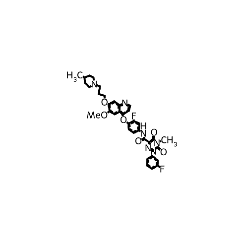 COc1cc2c(Oc3ccc(NC(=O)c4nn(-c5cccc(F)c5)c(=O)n(C)c4=O)cc3F)ccnc2cc1OCCCN1CCC(C)CC1